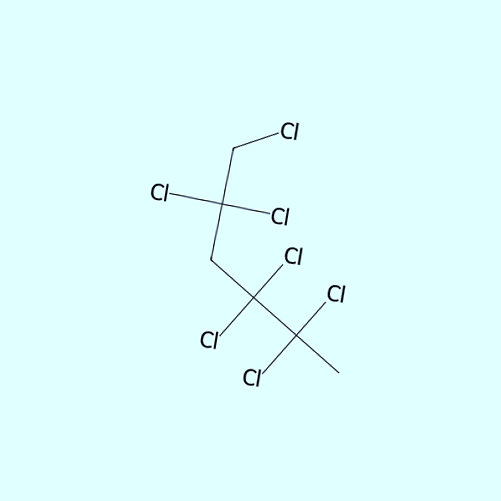 CC(Cl)(Cl)C(Cl)(Cl)CC(Cl)(Cl)CCl